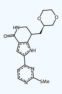 CSc1nccc(-c2cc3c([nH]2)C(C[C@@H]2COCCO2)CNC3=O)n1